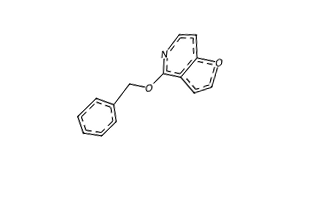 c1ccc(COc2nccc3occc23)cc1